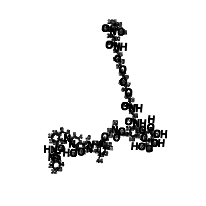 Cc1c(-c2ccc(N3CCc4cccc(C(=O)Nc5nc6ccccc6s5)c4C3)nc2C(=O)O)cnn1CC12CC3(C)CC(C)(C1)CC(OCCN(C)C(=O)OCc1ccc(O[C@@H]4O[C@H](C(=O)O)[C@@H](O)[C@H](O)[C@@H]4O)c(NC(=O)CCNC(=O)CCOCCOCCOCCOCCNC(=O)CCN4C(=O)C=CC4=O)c1)(C3)C2